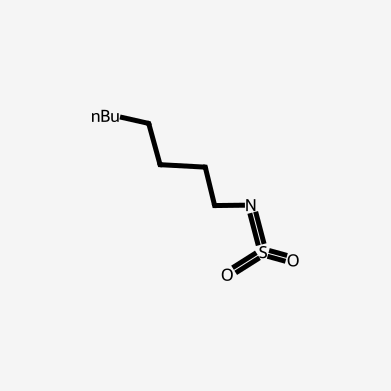 CCCCCCCCN=S(=O)=O